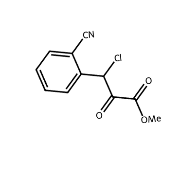 COC(=O)C(=O)C(Cl)c1ccccc1C#N